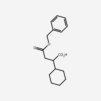 O=C(CC(C(=O)O)C1CCCCC1)OCc1ccccc1